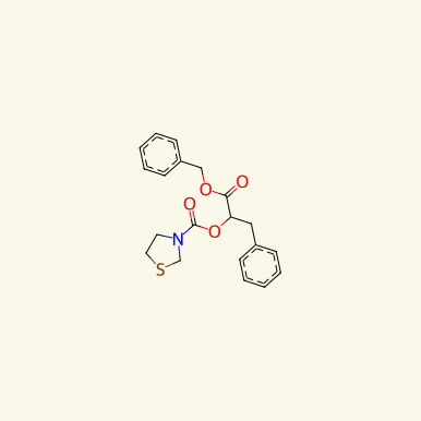 O=C(OCc1ccccc1)C(Cc1ccccc1)OC(=O)N1CCSC1